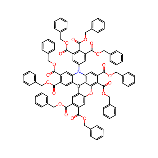 O=C(OCc1ccccc1)c1cc2c(cc1C(=O)OCc1ccccc1)B1c3cc(C(=O)OCc4ccccc4)c(C(=O)OCc4ccccc4)cc3N(c3cc(C(=O)OCc4ccccc4)c(C(=O)OCc4ccccc4)c(C(=O)OCc4ccccc4)c3)c3cc(C(=O)OCc4ccccc4)c(C(=O)OCc4ccccc4)c(c31)O2